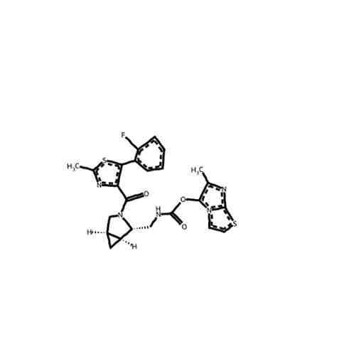 Cc1nc(C(=O)N2C[C@@H]3C[C@@H]3[C@H]2CNC(=O)Oc2c(C)nc3sccn23)c(-c2ccccc2F)s1